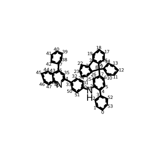 c1ccc(-c2ccc(C3(c4ccccc4)c4ccccc4-c4ccccc43)cc2Nc2ccc(-c3cc(-c4ccccc4)c4ccccc4n3)cc2)cc1